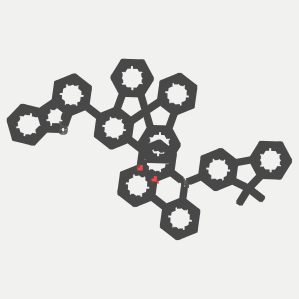 CC1(C)c2ccccc2-c2ccc(N(c3ccc(-c4ccc(-c5cccc6c5oc5ccccc56)c5c4C4(c6ccccc6-c6ccccc64)c4ccccc4-5)cc3)c3ccccc3-c3ccccc3)cc21